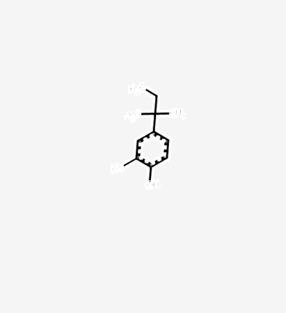 CCC(C)(C)c1ccc(O)c(S)c1